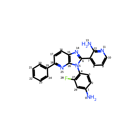 Nc1ccc(-n2c(-c3cccnc3N)nc3ccc(-c4ccccc4)nc32)c(F)c1